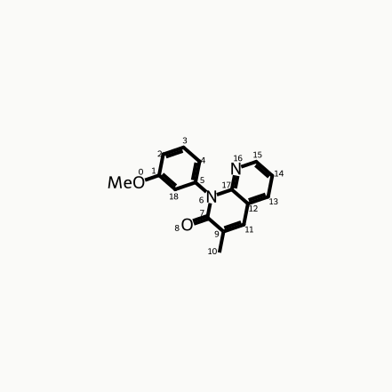 COc1cccc(-n2c(=O)c(C)cc3cccnc32)c1